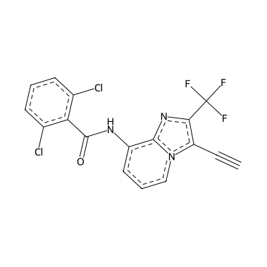 C#Cc1c(C(F)(F)F)nc2c(NC(=O)c3c(Cl)cccc3Cl)cccn12